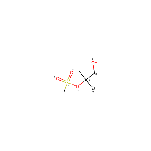 CCC(C)(CO)OS(C)(=O)=O